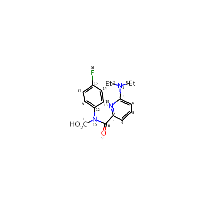 CCN(CC)c1cccc(C(=O)N(C(=O)O)c2ccc(F)cc2)n1